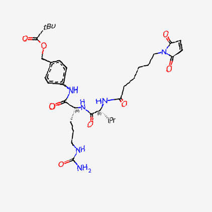 CC(C)[C@@H](NC(=O)CCCCCN1C(=O)C=CC1=O)C(=O)N[C@H](CCCNC(N)=O)C(=O)Nc1ccc(COC(=O)C(C)(C)C)cc1